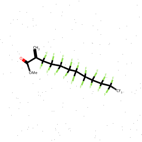 C=C(C(=O)OC)C(F)(F)C(F)(F)C(F)(F)C(F)(F)C(F)(F)C(F)(F)C(F)(F)C(F)(F)C(F)(F)C(F)(F)F